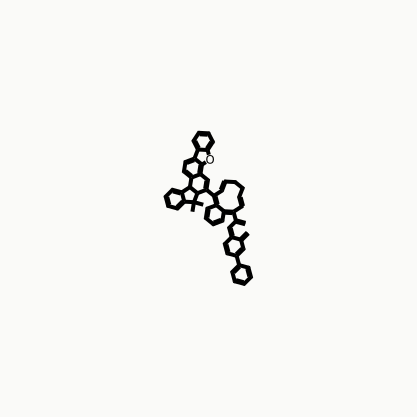 C=C(/C=c1/ccc(-c2ccccc2)cc1=C)C1=c2\cccc\c2=C(C2=Cc3c(ccc4c3oc3ccccc34)C3c4ccccc4C(C)(C)C23)\C=C\CC\C=C\1